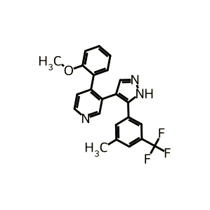 COc1ccccc1-c1ccncc1-c1cn[nH]c1-c1cc(C)cc(C(F)(F)F)c1